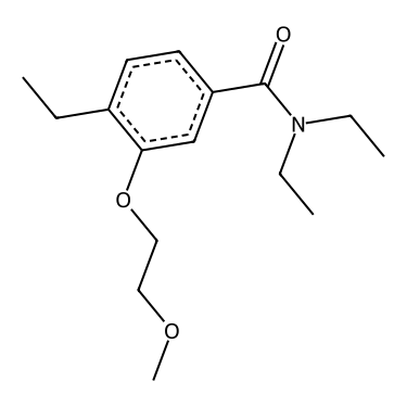 CCc1ccc(C(=O)N(CC)CC)cc1OCCOC